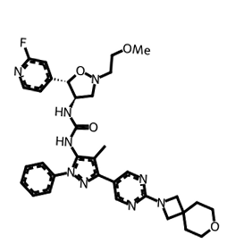 COCCN1C[C@@H](NC(=O)Nc2c(C)c(-c3cnc(N4CC5(CCOCC5)C4)nc3)nn2-c2ccccc2)[C@H](c2ccnc(F)c2)O1